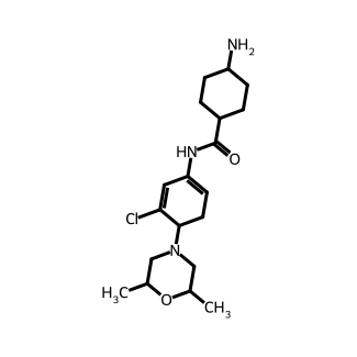 CC1CN(C2CC=C(NC(=O)C3CCC(N)CC3)C=C2Cl)CC(C)O1